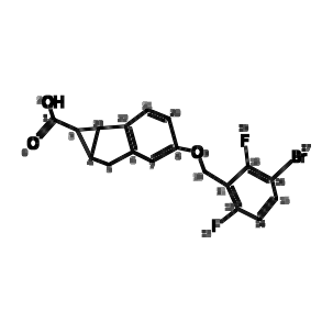 O=C(O)C1C2Cc3cc(OCc4c(F)ccc(Br)c4F)ccc3C21